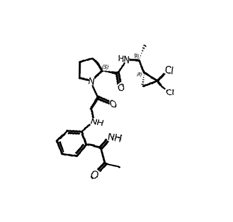 CC(=O)C(=N)c1ccccc1NCC(=O)N1CCC[C@H]1C(=O)N[C@H](C)[C@H]1CC1(Cl)Cl